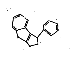 c1ccc(C2CCC3=C2c2ccccc2[N]3)cc1